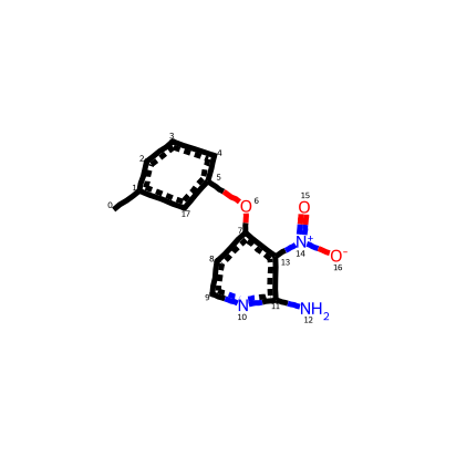 Cc1cccc(Oc2ccnc(N)c2[N+](=O)[O-])c1